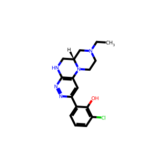 CCN1CCN2c3cc(-c4cccc(Cl)c4O)nnc3NC[C@@H]2C1